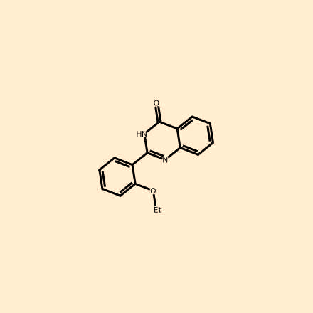 CCOc1ccccc1-c1nc2ccccc2c(=O)[nH]1